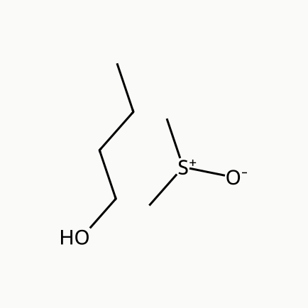 CCCCO.C[S+](C)[O-]